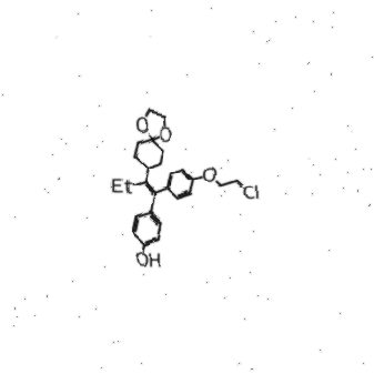 CCC(=C(c1ccc(O)cc1)c1ccc(OCCCl)cc1)C1CCC2(CC1)OCCO2